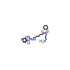 N=C(NCCCCCCC(=O)N(CCCN)OC1CCCCC1)Nc1ccncc1